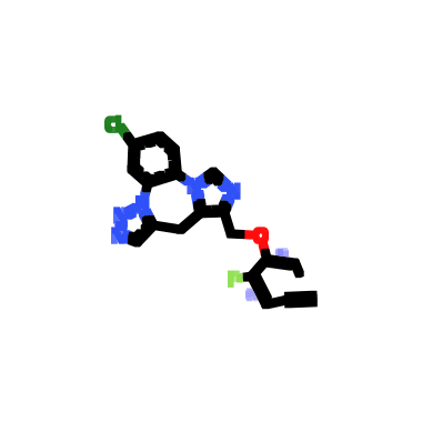 C#C/C=C(F)\C(=C/C)OCc1ncn2c1Cc1cnnn1-c1cc(Cl)ccc1-2